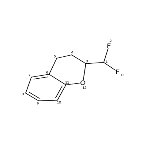 FC(F)C1CCc2ccccc2O1